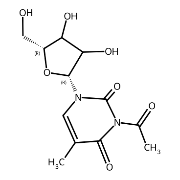 CC(=O)n1c(=O)c(C)cn([C@@H]2O[C@H](CO)C(O)C2O)c1=O